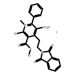 CCOC(=O)c1c(CCN2C(=O)c3ccccc3C2=O)c(C(=O)SCC)c(CC)[n+](C)c1-c1ccccc1.[I-]